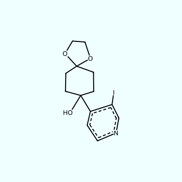 OC1(c2ccncc2I)CCC2(CC1)OCCO2